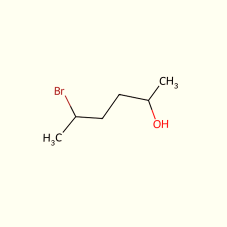 CC(O)CCC(C)Br